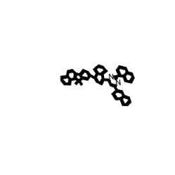 CC1(C)c2cc(-c3ccc(-c4cc(-c5ccc6ccccc6c5)nc(-c5cccc6ccccc56)n4)c4ccccc34)ccc2-c2ccc3ccccc3c21